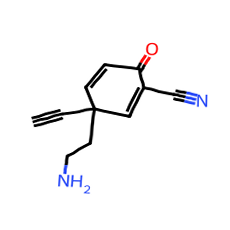 C#CC1(CCN)C=CC(=O)C(C#N)=C1